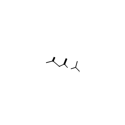 CC(=O)CC(=O)OC(C)C.[Fe]